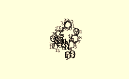 COC(=O)[C@H](Cc1ccc(OC)cc1)n1cc([C@@H]2CCCN2S(=O)(=O)c2ccc(-c3ccccc3)s2)nn1